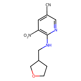 N#Cc1cnc(NCC2CCOC2)c([N+](=O)[O-])c1